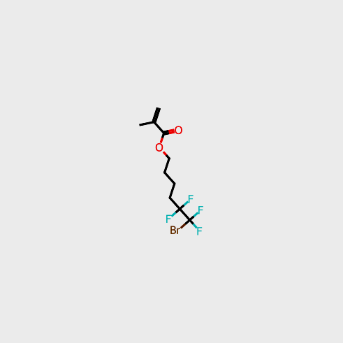 C=C(C)C(=O)OCCCCC(F)(F)C(F)(F)Br